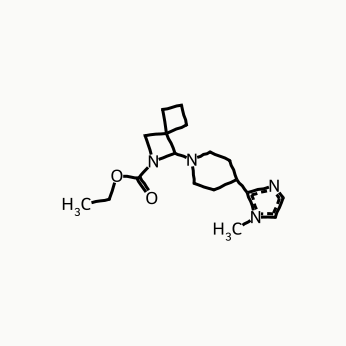 CCOC(=O)N1CC2(CCC2)C1N1CCC(c2nccn2C)CC1